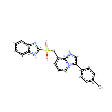 O=S(=O)(Cc1cccn2c(-c3ccc(C(F)(F)F)cc3)cnc12)c1nc2ccccc2[nH]1